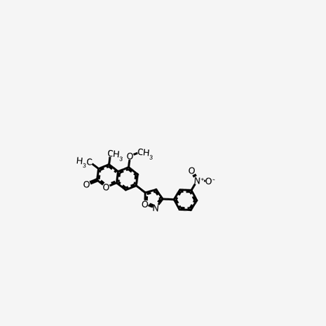 COc1cc(-c2cc(-c3cccc([N+](=O)[O-])c3)no2)cc2oc(=O)c(C)c(C)c12